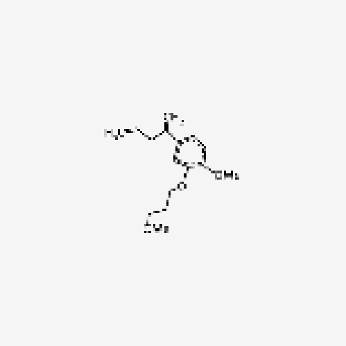 C=CCC(=C)c1ccc(OC)c(OCCCOC)c1